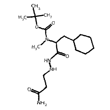 CN(C(=O)OC(C)(C)C)C(CC1CCCCC1)C(=O)NNCCC(N)=O